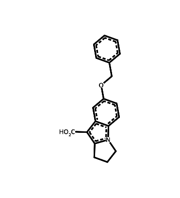 O=C(O)c1c2n(c3ccc(OCc4ccccc4)cc13)CCC2